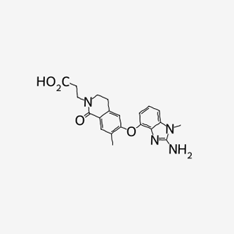 Cc1cc2c(cc1Oc1cccc3c1nc(N)n3C)CCN(CCC(=O)O)C2=O